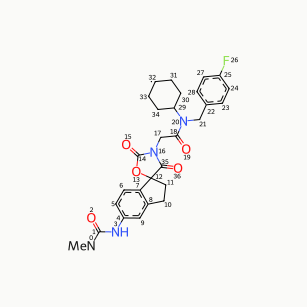 CNC(=O)Nc1ccc2c(c1)CCC21OC(=O)N(CC(=O)N(Cc2ccc(F)cc2)C2CC[CH]CC2)C1=O